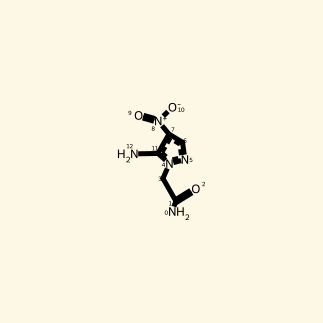 NC(=O)Cn1ncc([N+](=O)[O-])c1N